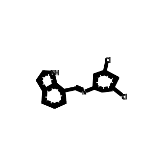 Clc1cc(Cl)cc(/N=C/c2cccc3cc[nH]c23)c1